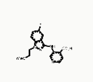 COCCn1nc(Nc2cnccc2C(=O)O)c2cc(F)ccc21